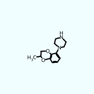 CC1COc2c(cccc2N2CCNCC2)O1